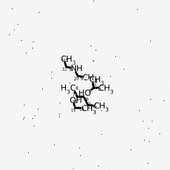 CC(C)O.CCCCC.CCNCC.CCO